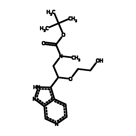 CN(CC(OCCO)c1[nH]nc2cnccc12)C(=O)OC(C)(C)C